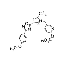 Cc1cc(-c2nc(-c3ccc(OC(F)(F)F)cc3)no2)nn1Cc1ccc(OC(=O)O)nc1